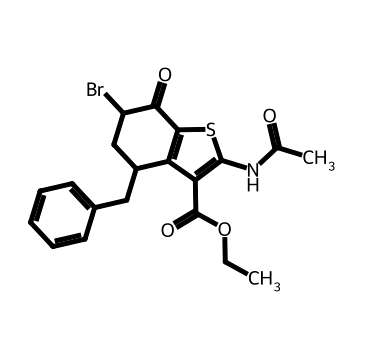 CCOC(=O)c1c(NC(C)=O)sc2c1C(Cc1ccccc1)CC(Br)C2=O